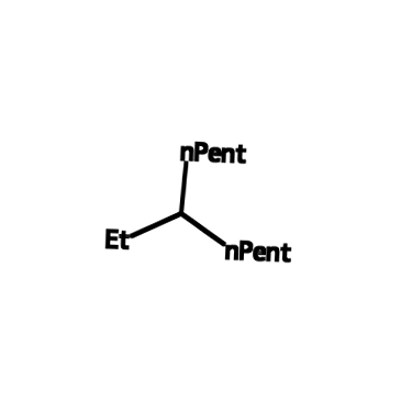 [CH2]CCCCC(CC)CCCC[CH2]